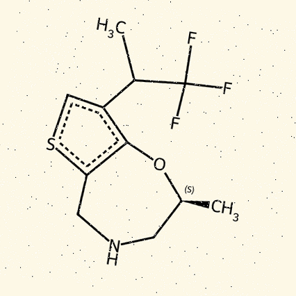 CC(c1csc2c1O[C@@H](C)CNC2)C(F)(F)F